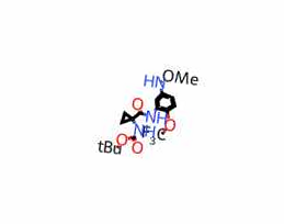 CONc1ccc(OC(F)(F)F)c(NC(=O)C2(NC(=O)OC(C)(C)C)CC2)c1